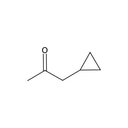 CC(=O)CC1CC1